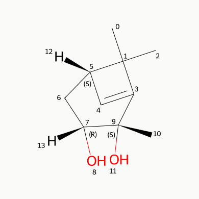 CC1(C)C2=C[C@@H]1C[C@@H](O)[C@@]2(C)O